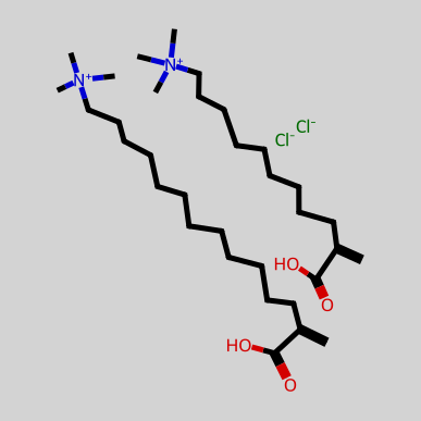 C=C(CCCCCCCCCCCC[N+](C)(C)C)C(=O)O.C=C(CCCCCCCCC[N+](C)(C)C)C(=O)O.[Cl-].[Cl-]